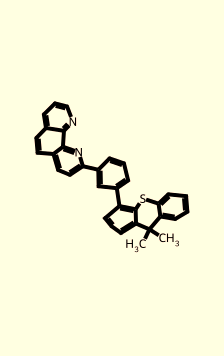 CC1(C)c2ccccc2Sc2c(-c3cccc(-c4ccc5ccc6cccnc6c5n4)c3)cccc21